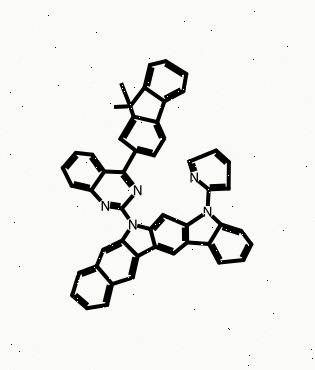 CC1(C)c2ccccc2-c2ccc(-c3nc(-n4c5cc6ccccc6cc5c5cc6c7ccccc7n(-c7ccccn7)c6cc54)nc4ccccc34)cc21